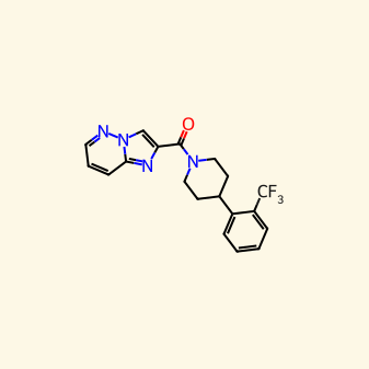 O=C(c1cn2ncccc2n1)N1CCC(c2ccccc2C(F)(F)F)CC1